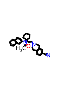 CC(=O)N(c1ccc2ccccc2c1)C1(CCN2CCc3ccc(C#N)cc3CC2)CCCCC1